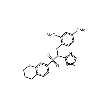 COc1ccc(CN(c2ncns2)S(=O)(=O)c2ccc3c(c2)OCC[CH]3)c(OC)c1